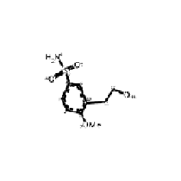 COc1ccc(S(N)(=O)=O)cc1CC[O]